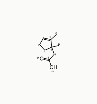 CC1=CCCC1(C)CC(=O)O